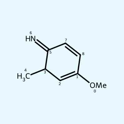 COC1=CC(C)C(=N)C=C1